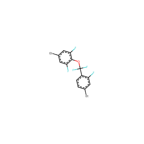 CCc1ccc(C(F)(F)Oc2c(F)cc(CC)cc2F)c(F)c1